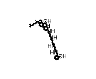 CC(C)CCC[C@@H](C)[C@H]1CCC2C3C(CC[C@@]21C)[C@@]1(C)CC[C@H](NCCCNCCCCNCCCNCc2ccccc2O)C[C@H]1C[C@@H]3O